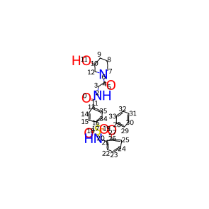 O=C(NCC(=O)N1CCCC(O)C1)c1ccc(S(=O)(=O)Nc2ccccc2Oc2ccccc2)cc1